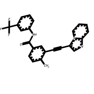 Cc1ccc(C(=O)Nc2cccc(C(F)(F)F)c2)cc1C#Cc1cnc2ccccn12